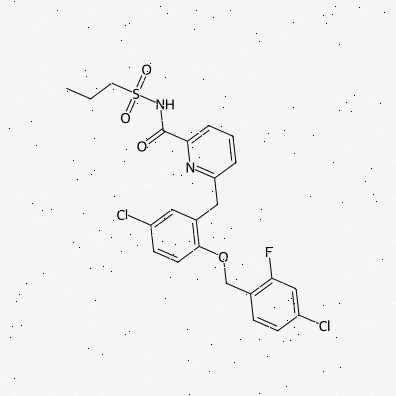 CCCS(=O)(=O)NC(=O)c1cccc(Cc2cc(Cl)ccc2OCc2ccc(Cl)cc2F)n1